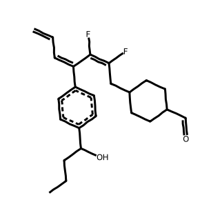 C=C/C=C(\C(F)=C(\F)CC1CCC(C=O)CC1)c1ccc(C(O)CCC)cc1